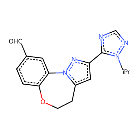 CC(C)n1ncnc1-c1cc2n(n1)-c1cc(C=O)ccc1OCC2